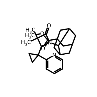 COC(=O)C12CC3CC(C1)C(N1C(=O)C(C)(C)C1C1(c4ccccn4)CC1)C(C3)C2